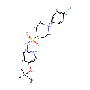 CC(C)(C)[Si](C)(C)Oc1ccc(NS(=O)(=O)C2CCN(c3ccc(F)cc3)CC2)nc1